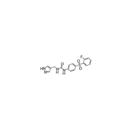 O=C(NCc1cn[nH]c1)Nc1ccc(S(=O)(=O)c2ccccc2F)cc1